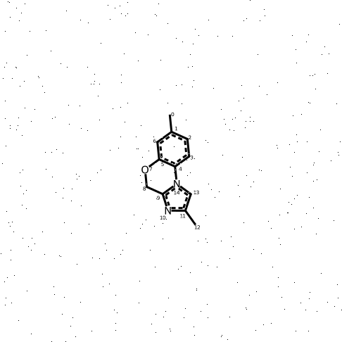 Cc1ccc2c(c1)OCc1nc(C)cn1-2